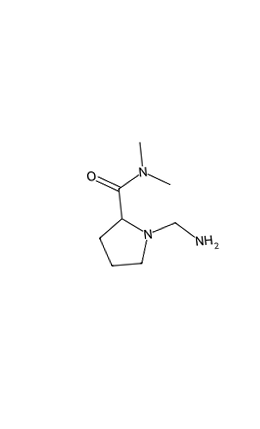 CN(C)C(=O)C1CCCN1CN